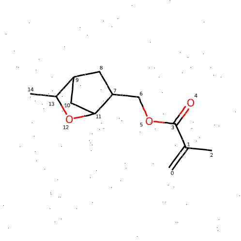 C=C(C)C(=O)OCC1CC2CC1OC2C